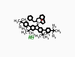 CC(C)(C)c1ccc(-c2cc3c(cc2C(C)(C)C)-c2cc(C(C)(C)C)c(-c4ccc(C(C)(C)C)cc4)cc2[CH]3[Zr]([C]2=CC=CC2)=[C](Cc2ccccc2)Cc2ccccc2)cc1.Cl.Cl